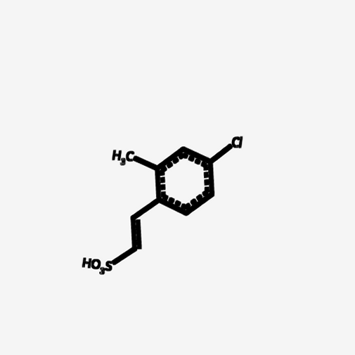 Cc1cc(Cl)ccc1C=CS(=O)(=O)O